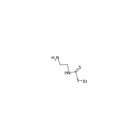 CCSC(=S)NCCN